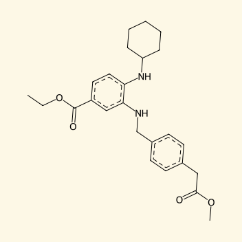 CCOC(=O)c1ccc(NC2CCCCC2)c(NCc2ccc(CC(=O)OC)cc2)c1